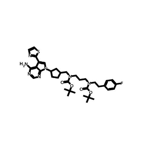 CC(C)(C)OC(=O)N(CCCN(CC1CCC(n2cc(-c3nccs3)c3c(N)ncnc32)C1)C(=O)OC(C)(C)C)CCc1ccc(F)cc1